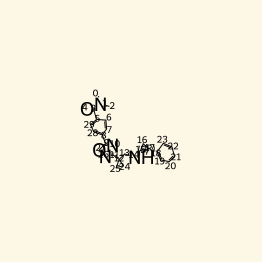 CN(C)C(=O)c1ccc(-c2nc(C3(CN[C@H]4C[C@@H]4c4ccccc4)CC3)no2)cc1